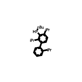 CCCCPc1c(C(C)C)ccc(-c2ccccc2C(C)C)c1C(C)C